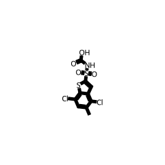 Cc1cc(Cl)c2sc(S(=O)(=O)NC(=O)O)cc2c1Cl